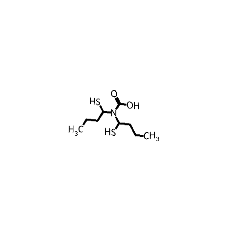 CCCC(S)N(C(=O)O)C(S)CCC